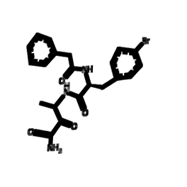 CC(NC(=O)[C@H](Cc1ccc(Br)cc1)NC(=O)Cc1ccccc1)C(=O)C(N)=O